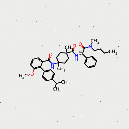 CCCCN(C)C(=O)[C@@H](NC(=O)C1(C)CCC(C)(NC(=O)c2cccc(OC)c2-c2ccc(C(C)C)cc2)CC1)c1ccccc1